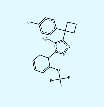 Cn1c(C2CC=CC=C2OC(F)(F)F)nnc1C1(c2ccc(Cl)cc2)CCC1